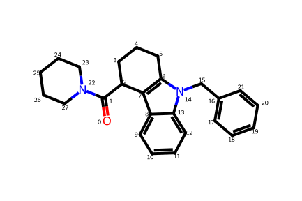 O=C(C1CCCc2c1c1ccccc1n2Cc1ccccc1)N1CCCCC1